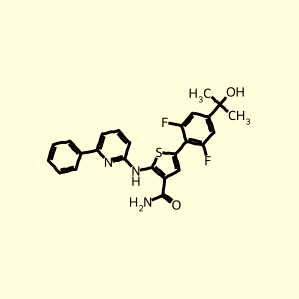 CC(C)(O)c1cc(F)c(-c2cc(C(N)=O)c(Nc3cccc(-c4ccccc4)n3)s2)c(F)c1